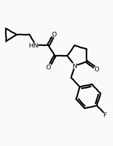 O=C(NCC1CC1)C(=O)C1CCC(=O)N1Cc1ccc(F)cc1